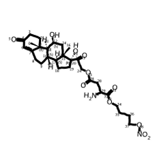 C[C@]12CCC(=O)C=C1CC[C@@H]1[C@@H]2[C@@H](O)C[C@@]2(C)[C@H]1CC[C@]2(O)C(=O)COC(=O)CC(N)C(=O)OCCCCO[N+](=O)[O-]